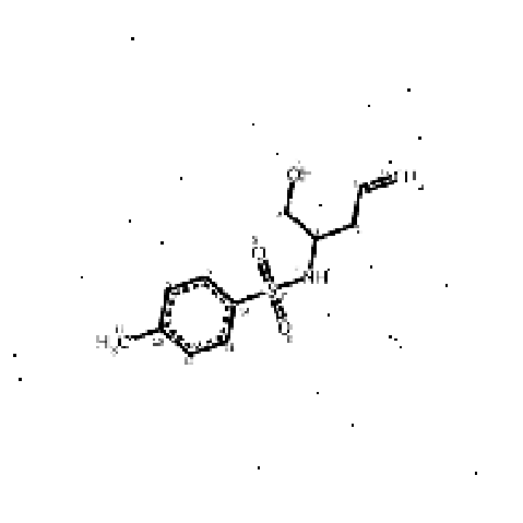 C=CCC(CO)NS(=O)(=O)c1ccc(C)cc1